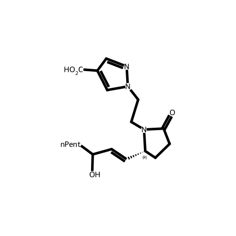 CCCCCC(O)C=C[C@H]1CCC(=O)N1CCn1cc(C(=O)O)cn1